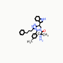 Cc1ccc(Cn2c(CCCc3ccccc3)nnc2C(CNC(=O)C(C)(C)N)c2c[nH]c3ccccc23)cc1